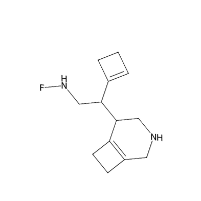 FNCC(C1=CCC1)C1CNCC2=C1CC2